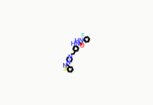 O=C(Nc1ccc(CCN2CCN(c3nsc4ccccc34)CC2)cc1)Nc1ccccc1F